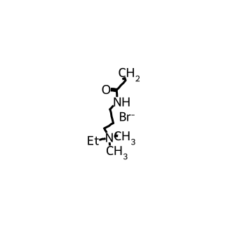 C=CC(=O)NCCC[N+](C)(C)CC.[Br-]